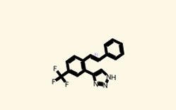 FC(F)(F)c1ccc(/C=C/c2ccccc2)c(-c2c[nH]nn2)c1